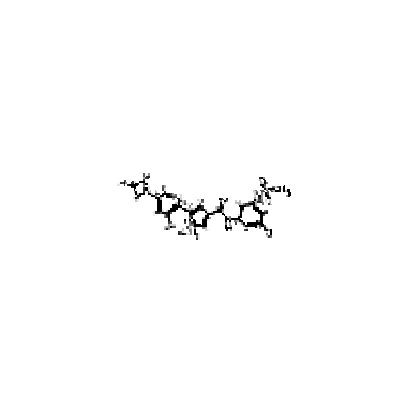 Cn1cc(C(=O)Nc2cc(Cl)cc(NS(C)(=O)=O)c2)cc1-c1ncc(N2CC(F)C2)cc1F